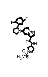 NS(=O)(=O)N1CCC(NC(=O)c2cnn3ccc(N4CCCC4c4cc(F)ccc4F)cc23)C1